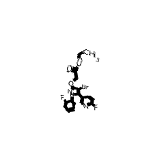 CCOC(=O)COc1nn(-c2ccccc2F)c(-c2ccc(F)nc2)c1Br